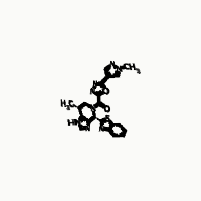 C[C@@H]1CN(C(=O)c2nnc(-c3cnn(C)c3)o2)[C@H](c2nc3ccccc3s2)c2nc[nH]c21